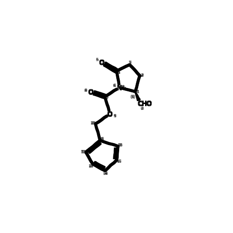 O=C[C@@H]1CCC(=O)[N+]1C(=O)OCc1ccccc1